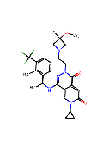 COC1(C)CN(CCn2nc(NC(C)c3cccc(C(F)(F)F)c3C)c3cn(C4CC4)c(=O)cc3c2=O)C1